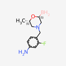 B[C@H]1CN(Cc2ccc(N)cc2F)C[C@H](C)O1